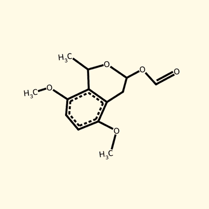 COc1ccc(OC)c2c1CC(OC=O)OC2C